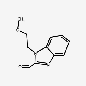 COCCn1c(C=O)nc2ccccc21